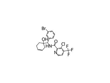 O=C(NC(c1cccc(Br)c1)C1(O)CC=CCC1)c1nccc(C(F)(F)F)c1Cl